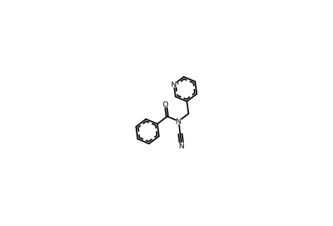 N#CN(Cc1cccnc1)C(=O)c1ccccc1